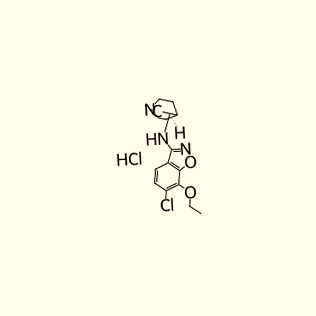 CCOc1c(Cl)ccc2c(N[C@H]3CN4CCC3CC4)noc12.Cl